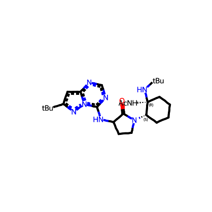 CC(=O)N[C@]1(NC(C)(C)C)CCCC[C@@H]1N1CCC(Nc2ncnc3cc(C(C)(C)C)nn23)C1=O